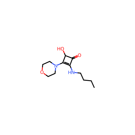 CCCCNC1=C(N2CCOCC2)C(O)C1=O